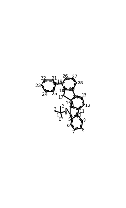 CC(C)(C)n1c2ccccc2c2ccc3c(c21)Cc1c(-c2ccccc2)cccc1-3